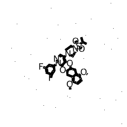 COc1ccc(OC)c2c1CCC(Oc1c(N3CCN(S(=O)(=O)C(C)C)CC3)cnn(-c3cc(F)cc(F)c3)c1=O)C2